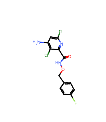 Nc1cc(Cl)nc(C(=O)NOCc2ccc(F)cc2)c1Cl